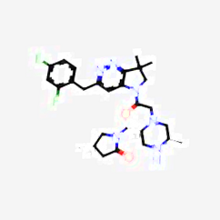 C[C@H]1CC(=O)N(C[C@H]2CN[C@H](C)CN2CC(=O)N2CC(C)(C)c3nnc(Cc4ccc(F)cc4F)cc32)C1